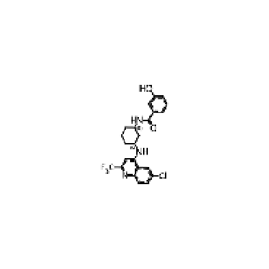 O=C(N[C@@H]1CCC[C@H](Nc2cc(C(F)(F)F)nc3ccc(Cl)cc23)C1)c1cccc(O)c1